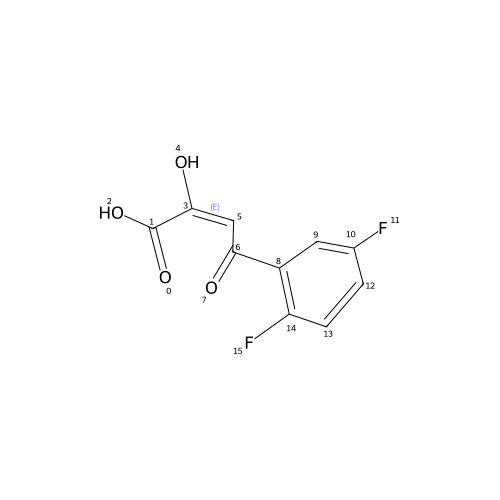 O=C(O)/C(O)=C\C(=O)c1cc(F)ccc1F